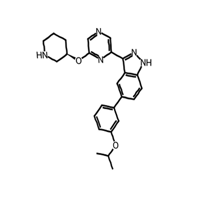 CC(C)Oc1cccc(-c2ccc3[nH]nc(-c4cncc(O[C@@H]5CCCNC5)n4)c3c2)c1